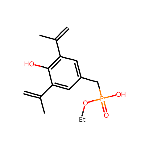 C=C(C)c1cc(CP(=O)(O)OCC)cc(C(=C)C)c1O